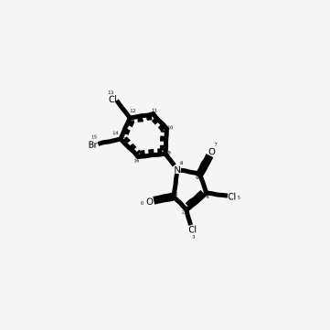 O=C1C(Cl)=C(Cl)C(=O)N1c1ccc(Cl)c(Br)c1